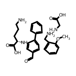 COc1ccccc1CN.NCC(=O)O.NCCC[C@H](N)C(=O)O.O=Cc1ccc(-c2ccccc2)cc1